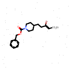 CCOC(=O)C=C(Br)CCC1CCN(C(=O)OCc2ccccc2)CC1